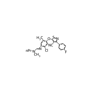 CCCN(C)C=Nc1cc(C)c(Oc2snc(-c3ccc(F)cc3)c2C#N)cc1Cl